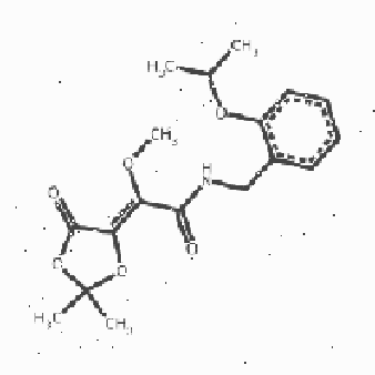 COC(C(=O)NCc1ccccc1OC(C)C)=C1OC(C)(C)OC1=O